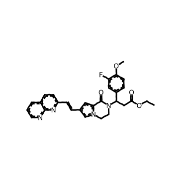 CCOC(=O)CC(c1ccc(OC)c(F)c1)N1CCn2cc(C=Cc3ccc4cccnc4n3)cc2C1=O